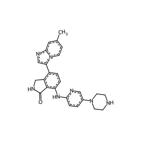 Cc1ccn2c(-c3ccc(Nc4ccc(N5CCNCC5)cn4)c4c3CNC4=O)cnc2c1